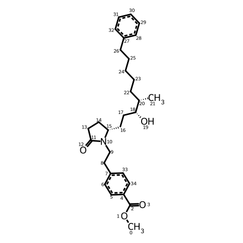 COC(=O)c1ccc(CCN2C(=O)CC[C@@H]2CC[C@@H](O)[C@@H](C)CCCCCc2ccccc2)cc1